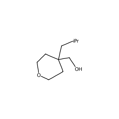 CC(C)CC1(CO)CCOCC1